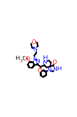 COc1cccc2c(C(=O)C3CC4(CCN3)C(=O)NCN4c3ccccc3)nn(CCN3CCOCC3)c12